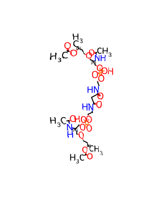 CC(=O)N[C@H](COCC[C@@H](C)OC(C)=O)COP(=O)(O)OCCNC(=O)CC(=O)NCCOP(=O)(O)OC[C@@H](COCC[C@@H](C)OC(C)=O)NC(C)=O